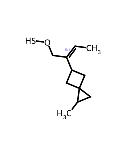 C/C=C(/COS)C1CC2(C1)CC2C